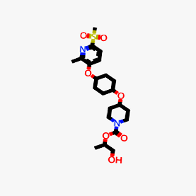 Cc1nc(S(C)(=O)=O)ccc1OC1CCC(OC2CCN(C(=O)OC(C)CO)CC2)CC1